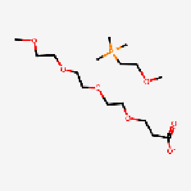 COCCOCCOCCOCCC(=O)[O-].COCC[P+](C)(C)C